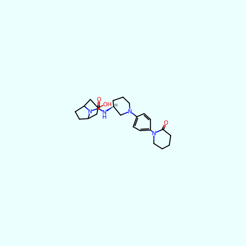 O=C1CCCCN1c1ccc(N2CCC[C@H](NC(=O)N3C4CCC3CC(O)C4)C2)cc1